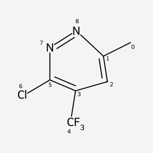 Cc1cc(C(F)(F)F)c(Cl)nn1